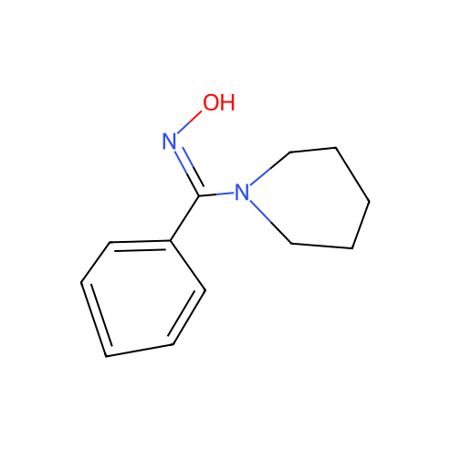 ON=C(c1ccccc1)N1CCCCC1